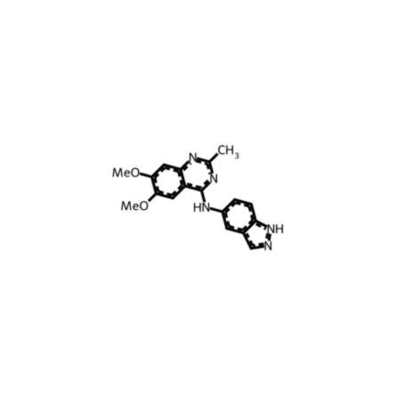 COc1cc2nc(C)nc(Nc3ccc4[nH]ncc4c3)c2cc1OC